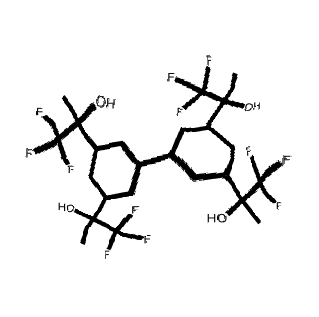 CC(O)(C1CC(C2CC(C(C)(O)C(F)(F)F)CC(C(C)(O)C(F)(F)F)C2)CC(C(C)(O)C(F)(F)F)C1)C(F)(F)F